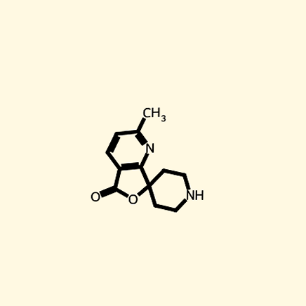 Cc1ccc2c(n1)C1(CCNCC1)OC2=O